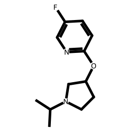 CC(C)N1CCC(Oc2ccc(F)cn2)C1